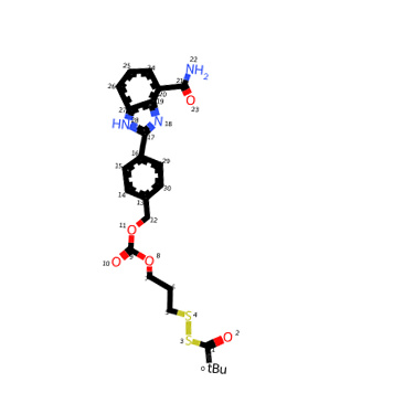 CC(C)(C)C(=O)SSCCCOC(=O)OCc1ccc(-c2nc3c(C(N)=O)cccc3[nH]2)cc1